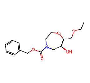 CCOC[C@H]1OCCN(C(=O)OCc2ccccc2)C[C@@H]1O